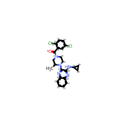 CC1CN(C(=O)c2cc(Cl)ccc2Cl)CCN1c1nc2ccccc2nc1NC1CC1